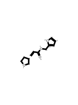 C1CCOC1.C=CC(=O)OCc1ccco1